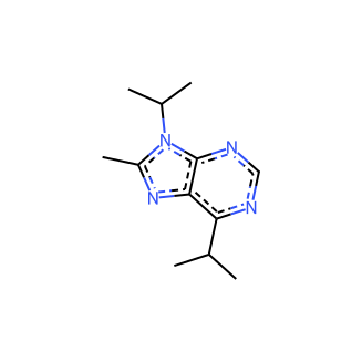 Cc1nc2c(C(C)C)ncnc2n1C(C)C